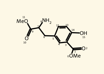 COC(=O)c1cc(CC(N)C(=O)OC)ccc1O